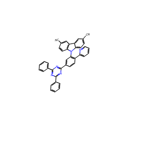 N#Cc1ccc2c(c1)c1cc(C#N)ccc1n2-c1cc(-c2nc(-c3ccccc3)nc(-c3ccccc3)n2)ccc1-c1ccccn1